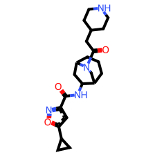 O=C(NC1CC2CCCC1CN2C(=O)CC1CCNCC1)c1cc(C2CC2)on1